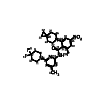 Cc1cc(N2CCC(F)(F)CC2)nc(NC(=O)c2c(F)cc([N+](=O)[O-])cc2N2CCC3(CC2)CC3)n1